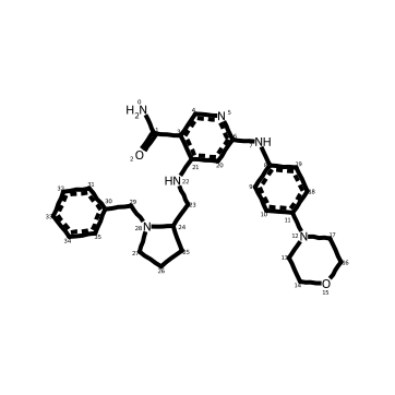 NC(=O)c1cnc(Nc2ccc(N3CCOCC3)cc2)cc1NCC1CCCN1Cc1ccccc1